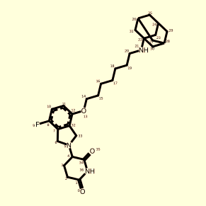 O=C1CCC(N2Cc3c(F)ccc(OCCCCCCCNC45CC6CC(CC(C6)C4)C5)c3C2)C(=O)N1